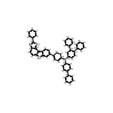 C1=C(c2ccc3c(c2)oc2ccc4nc(-c5ccccc5)sc4c23)CCC(N(c2ccc(-c3ccccc3)cc2)c2ccc(-c3ccccc3)c(-c3ccccc3)c2)=C1